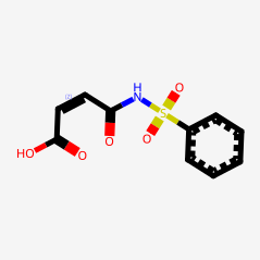 O=C(O)/C=C\C(=O)NS(=O)(=O)c1ccccc1